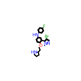 Cn1ncc(Br)c1-c1cc(Nc2ccc(F)cc2)ccc1OCCC1CCCN1